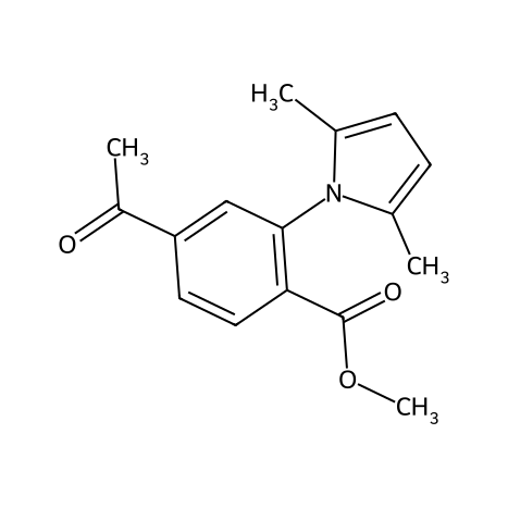 COC(=O)c1ccc(C(C)=O)cc1-n1c(C)ccc1C